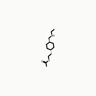 CCNC[C@H]1CC[C@H](CCOC(C)=O)CC1